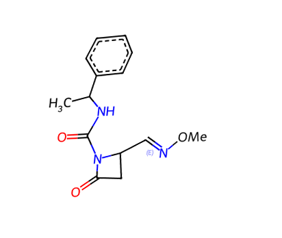 CO/N=C/C1CC(=O)N1C(=O)NC(C)c1ccccc1